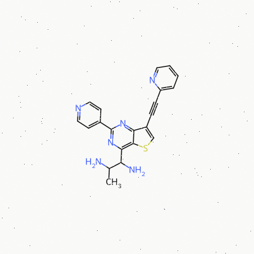 CC(N)C(N)c1nc(-c2ccncc2)nc2c(C#Cc3ccccn3)csc12